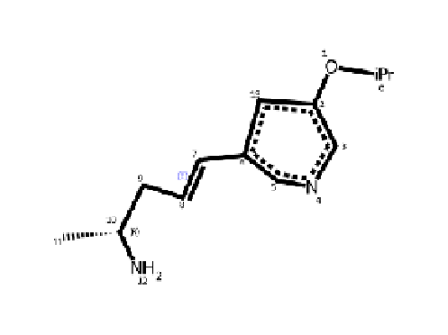 CC(C)Oc1cncc(/C=C/C[C@@H](C)N)c1